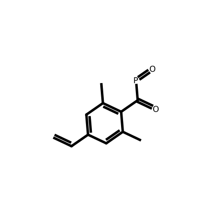 C=Cc1cc(C)c(C(=O)P=O)c(C)c1